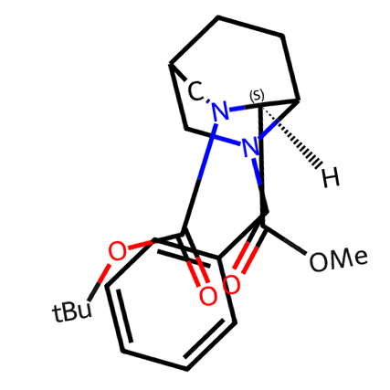 COC(=O)[C@@H]1C2CCC(CN2Cc2ccccc2)CN1C(=O)OC(C)(C)C